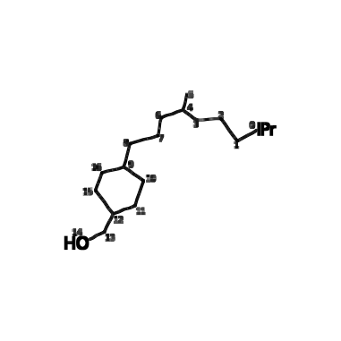 CC(C)CCCC(C)CCCC1CCC(CO)CC1